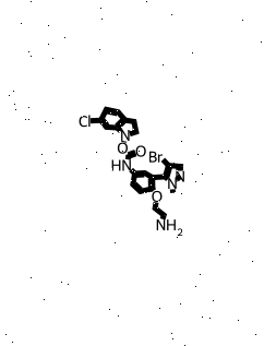 Cn1ncc(Br)c1-c1cc(NC(=O)ON2CCc3ccc(Cl)cc32)ccc1OCCN